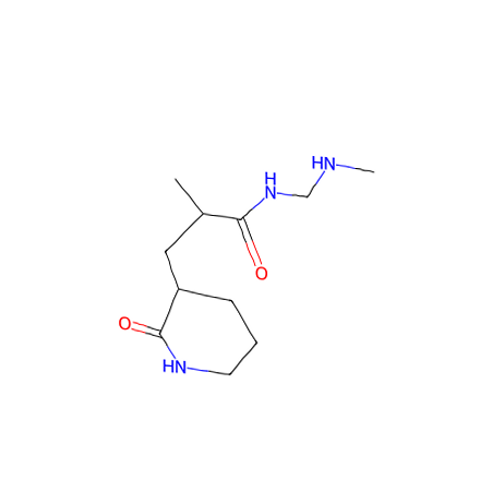 CNCNC(=O)C(C)CC1CCCNC1=O